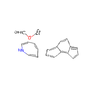 C1=CC=CNC=C1.C1=Cc2c3c(ccc2=C1)=CC=C3.CCOC=O